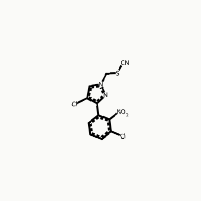 N#CSCn1cc(Cl)c(-c2cccc(Cl)c2[N+](=O)[O-])n1